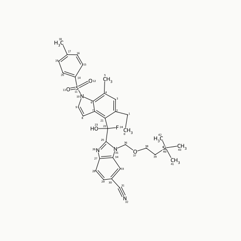 CCc1cc(C)c2c(ccn2S(=O)(=O)c2ccc(C)cc2)c1C(O)(F)c1nc2ccc(C#N)cc2n1COCC[Si](C)(C)C